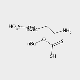 CCCCCCCCCCCCN.CCCCOC(=S)S.O=S(=O)(O)O